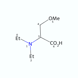 CCN(CC)C(COC)C(=O)O